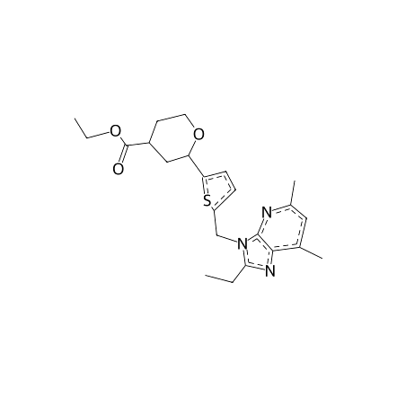 CCOC(=O)C1CCOC(c2ccc(Cn3c(CC)nc4c(C)cc(C)nc43)s2)C1